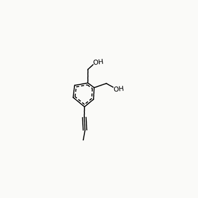 CC#Cc1ccc(CO)c(CO)c1